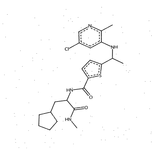 CNC(=O)C(CC1CCCC1)NC(=O)c1ccc(C(C)Nc2cc(Cl)cnc2C)s1